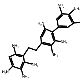 Cc1cc(-c2c(N)cc(CCc3c(N)cc(N)c(N)c3N)c(N)c2N)cc(N)c1N